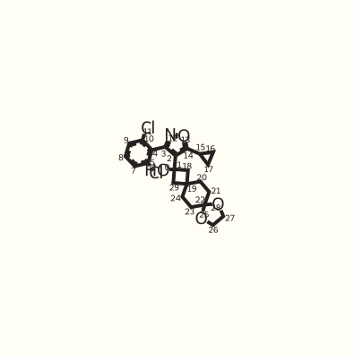 OC1(c2c(-c3c(Cl)cccc3Cl)noc2C2CC2)CC2(CCC3(CC2)OCCO3)C1